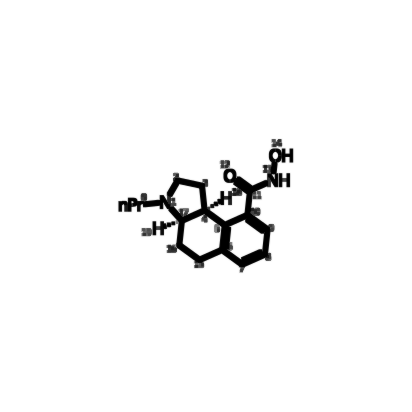 CCCN1CC[C@H]2c3c(cccc3C(=O)NO)CC[C@H]21